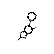 Clc1cc2nc(Br)sc2cc1-c1ccccc1